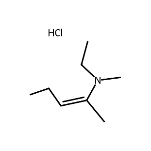 CCC=C(C)N(C)CC.Cl